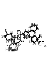 O=C(c1cc(-c2cccnc2)n(-c2ccc(C(F)(F)F)c(F)c2)n1)N1CCC2(CC1)COCNCN2c1ccc(I)cc1